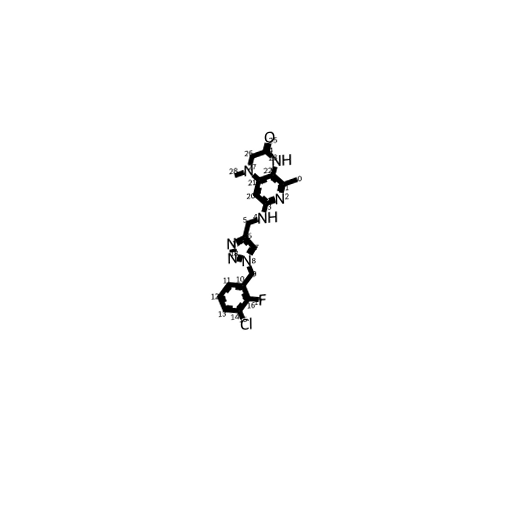 Cc1nc(NCc2cn(Cc3cccc(Cl)c3F)nn2)cc2c1NC(=O)CN2C